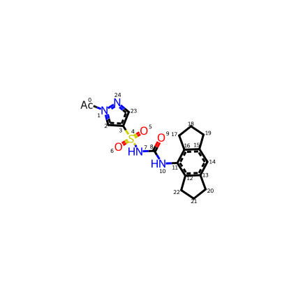 CC(=O)n1cc(S(=O)(=O)NC(=O)Nc2c3c(cc4c2CCC4)CCC3)cn1